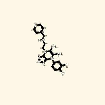 NC1=C(N)N(c2ccc(Cl)c(Cl)c2)c2nonc2N1CCNCc1ccncc1